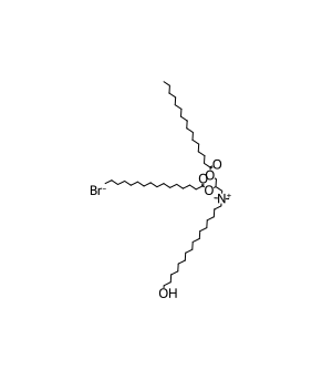 CCCCCCCCCCCCCCCC(=O)OCC(C[N+](C)(C)CCCCCCCCCCCCCCCCO)OC(=O)CCCCCCCCCCCCCCC.[Br-]